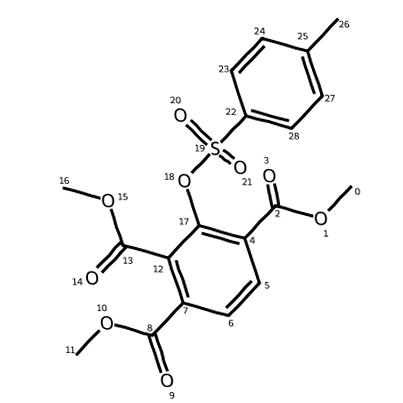 COC(=O)c1ccc(C(=O)OC)c(C(=O)OC)c1OS(=O)(=O)c1ccc(C)cc1